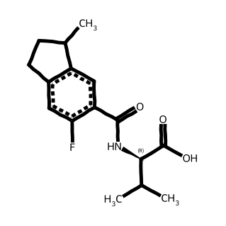 CC1CCc2cc(F)c(C(=O)N[C@@H](C(=O)O)C(C)C)cc21